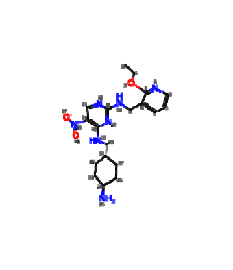 CCOc1ncccc1CNc1ncc([N+](=O)[O-])c(NC[C@H]2CC[C@H](N)CC2)n1